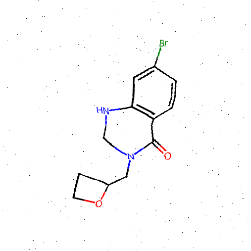 O=C1c2ccc(Br)cc2NCN1CC1CCO1